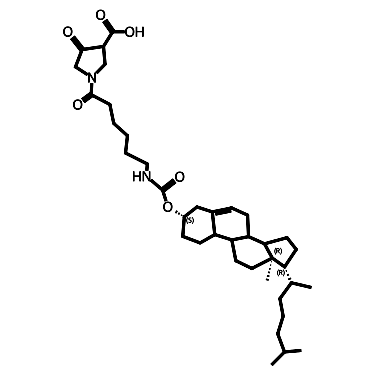 CC(C)CCCC(C)[C@H]1CCC2C3CC=C4C[C@@H](OC(=O)NCCCCCC(=O)N5CC(=O)C(C(=O)O)C5)CCC4C3CC[C@@]21C